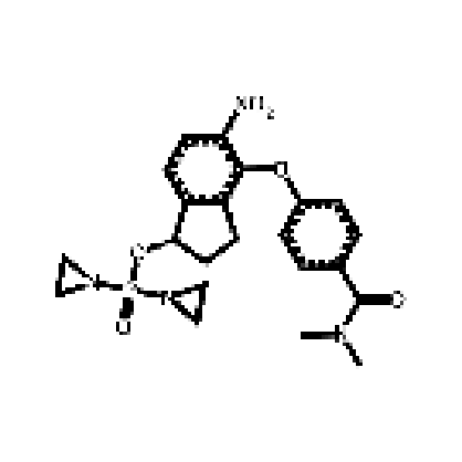 CN(C)C(=O)c1ccc(Oc2c([N+](=O)[O-])ccc3c2CC[C@H]3OP(=O)(N2CC2)N2CC2)cc1